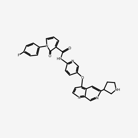 O=C(Nc1ccc(Oc2ccnc3cnc(C4CCNC4)cc23)cn1)c1cccn(-c2ccc(F)cc2)c1=O